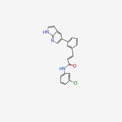 O=C(C=Cc1cccc(-c2cnc3[nH]ccc3c2)c1)Nc1cccc(Cl)c1